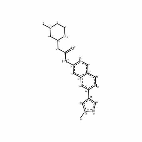 CN1CCOC(CC(=O)Nc2cc3cc(-c4cnn(C)c4)ncc3cn2)C1